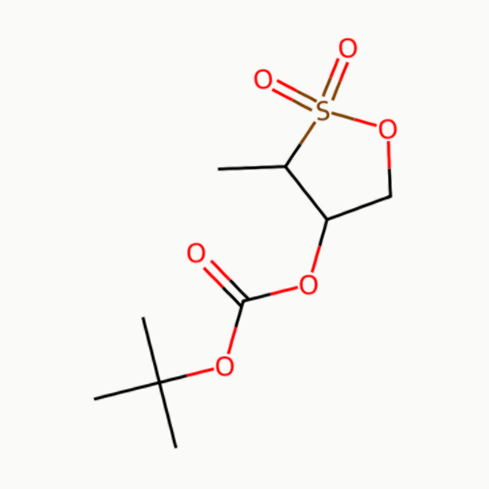 CC1C(OC(=O)OC(C)(C)C)COS1(=O)=O